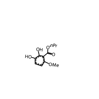 CCCOC(=O)c1c(OC)ccc(O)c1O